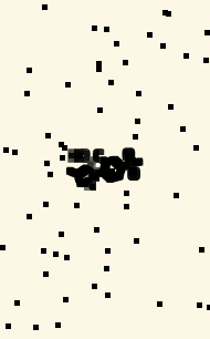 Cc1cnn(-c2ccc(S(C)(=O)=O)cc2C(=O)O)c1